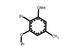 CCc1c(OC)cc(C)cc1OC(C)C